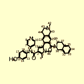 Cc1c(C(=O)N(c2ccncc2)c2ccc(O)cc2)cc(-c2cc3c(cc2C(=O)N2Cc4ccccc4C[C@H]2C)CN(C)CC3)n1C